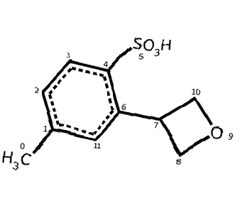 Cc1ccc(S(=O)(=O)O)c(C2COC2)c1